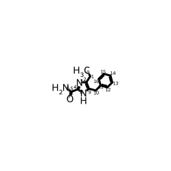 CCc1nc(C(N)=O)[nH]c1Cc1ccccc1